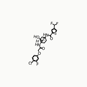 O=C(COc1ccc(Cl)c(F)c1)NC12CCC(NC(=O)c3cc(C(F)F)cs3)(CC1)C[C@@H]2O